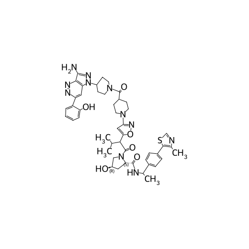 Cc1ncsc1-c1ccc(C(C)NC(=O)[C@@H]2C[C@@H](O)CN2C(=O)C(c2cc(N3CCC(C(=O)N4CCC(n5nc(N)c6nnc(-c7ccccc7O)cc65)CC4)CC3)no2)C(C)C)cc1